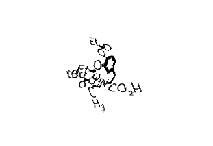 CCC(=O)Oc1ccc(C[C@H](NCC(C)OC(=O)C(C)(C)C)C(=O)O)cc1OC(=O)CC